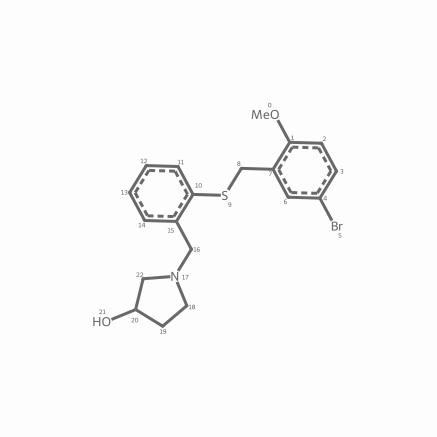 COc1ccc(Br)cc1CSc1ccccc1CN1CCC(O)C1